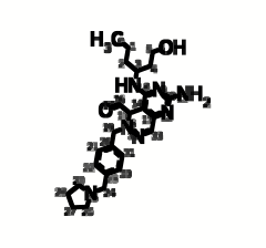 CCCC(CCO)Nc1nc(N)nc2c1C(C=O)N(Cc1ccc(CN3CCCC3)cc1)N=C2